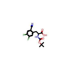 CC(C)(C)OC(=O)NC(Cc1cc(F)c(F)cc1C#N)C(=O)O